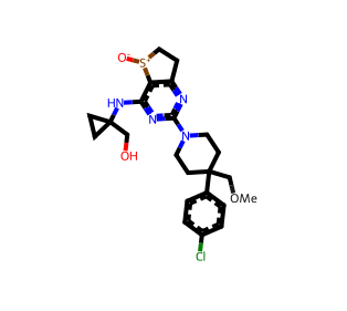 COCC1(c2ccc(Cl)cc2)CCN(c2nc3c(c(NC4(CO)CC4)n2)[S+]([O-])CC3)CC1